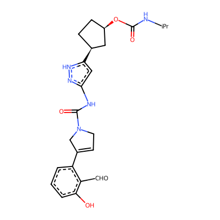 CC(C)NC(=O)O[C@@H]1CC[C@H](c2cc(NC(=O)N3CC=C(c4cccc(O)c4C=O)C3)n[nH]2)C1